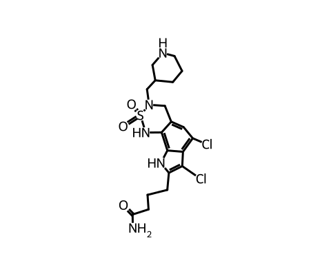 NC(=O)CCCc1[nH]c2c3c(cc(Cl)c2c1Cl)CN(CC1CCCNC1)S(=O)(=O)N3